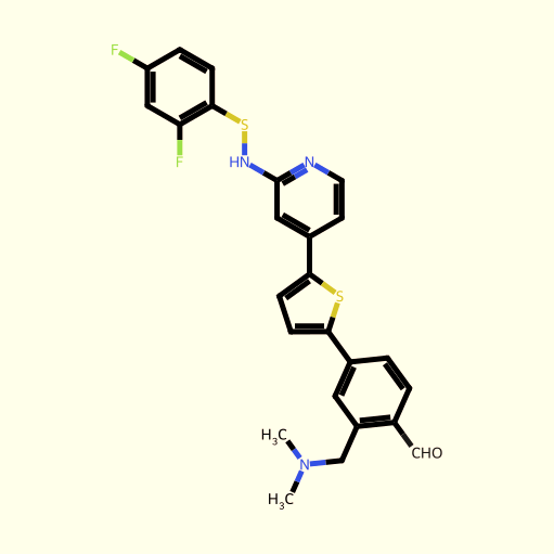 CN(C)Cc1cc(-c2ccc(-c3ccnc(NSc4ccc(F)cc4F)c3)s2)ccc1C=O